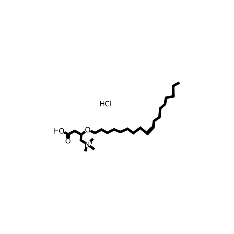 CCCCCCCC/C=C\CCCCCCCCOC(CC(=O)O)C[N+](C)(C)C.Cl